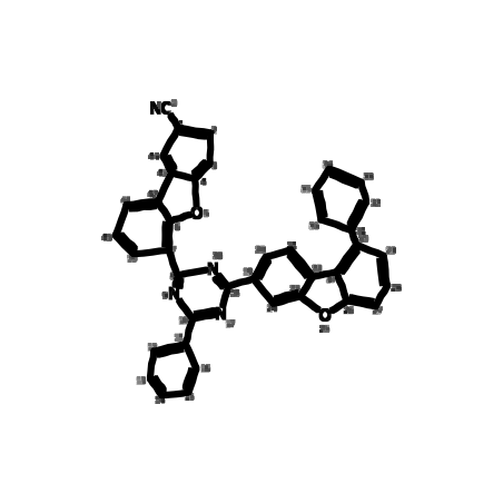 N#Cc1ccc2oc3c(-c4nc(-c5ccccc5)nc(-c5ccc6c(c5)oc5cccc(-c7ccccc7)c56)n4)cccc3c2c1